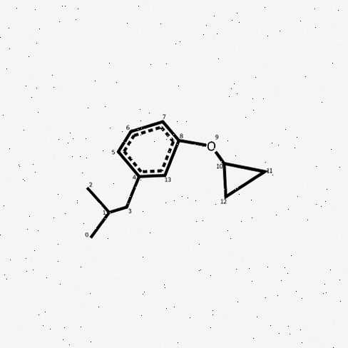 CC(C)Cc1cccc(OC2CC2)c1